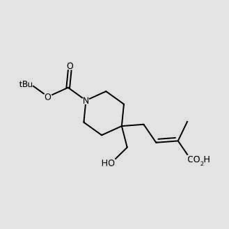 CC(=CCC1(CO)CCN(C(=O)OC(C)(C)C)CC1)C(=O)O